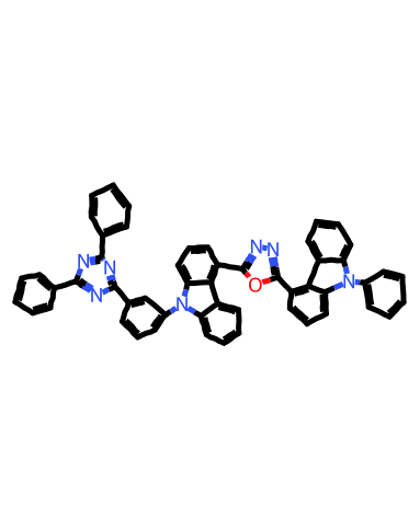 c1ccc(-c2nc(-c3ccccc3)nc(-c3cccc(-n4c5ccccc5c5c(-c6nnc(-c7cccc8c7c7ccccc7n8-c7ccccc7)o6)cccc54)c3)n2)cc1